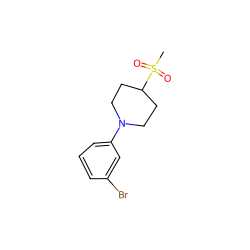 CS(=O)(=O)C1CCN(c2cccc(Br)c2)CC1